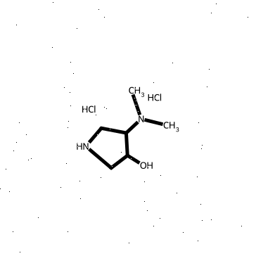 CN(C)C1CNCC1O.Cl.Cl